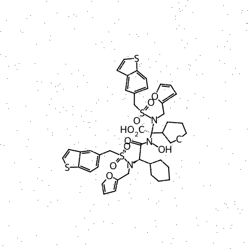 O=C([C@@H](C1CCCCC1)N(Cc1ccco1)S(=O)(=O)Cc1ccc2sccc2c1)N(O)[C@](C(=O)O)(C1CCCCC1)N(Cc1ccco1)S(=O)(=O)Cc1ccc2sccc2c1